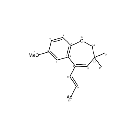 COc1ccc2c(c1)C(C=CC(C)=O)=CC(C)(C)CO2